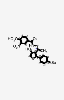 C/C(=N/NC(=O)c1ccc(C(=O)O)c([N+](=O)[O-])c1)c1c(O)csc1-c1ccc(C(C)(C)C)cc1